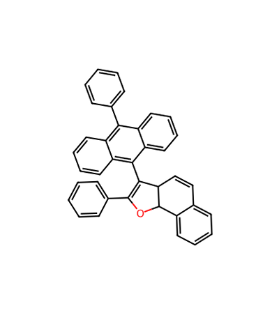 C1=CC2C(c3c4ccccc4c(-c4ccccc4)c4ccccc34)=C(c3ccccc3)OC2c2ccccc21